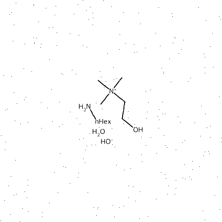 CCCCCCN.C[N+](C)(C)CCO.O.[OH-]